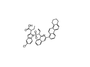 C=CC(c1nc(-c2cccc3c2ccc2c4c(ccc23)CCCC4)cc2ccccc12)S(=O)(=O)n1c(C(CC)C(=O)O)cc2cc(Cl)ccc21